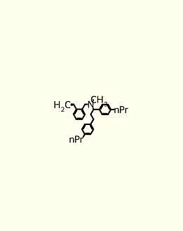 C=Cc1ccccc1CN(C)C(CCc1ccc(CCC)cc1)c1ccc(CCC)cc1